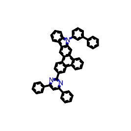 c1ccc(-c2cccc(-n3c4ccccc4c4cc5c6ccc(-c7nc(-c8ccccc8)cc(-c8ccccc8)n7)cc6c6ccccc6c5cc43)c2)cc1